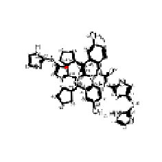 Cc1ccc(N(C(=O)Nc2ncc(Sc3ncc[nH]3)s2)N(C(=O)Nc2ncc(Sc3ncc[nH]3)s2)c2ccc(C)cc2C(=O)C2CCCC2)c(C(=O)C2CCCC2)c1